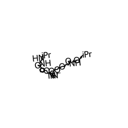 CC(C)C#CCOCCNC(=O)CCCOCCOCCOC(COc1cccc(C(=O)NCCNC(C)C)c1)N=[N+]=[N-]